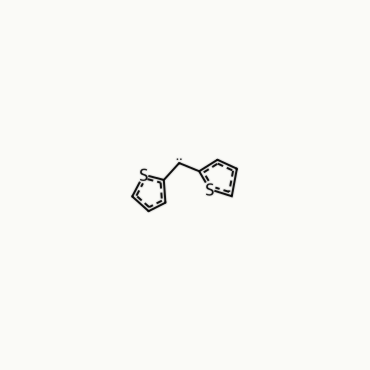 [C](c1cccs1)c1cccs1